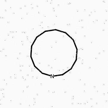 C1CCCCCC[N]CCCCCC1